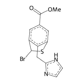 COC(=O)c1cc2c(Cc3ncc[nH]3)c(c1)C(Br)S2